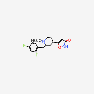 O=C(O)N1CCC(c2cc(=O)[nH]o2)CC1Cc1ccc(F)cc1F